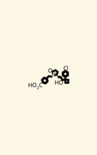 O=C(O)c1ccc(CCN2C(=O)CC[C@@H]2C=C[C@H](O)C2(c3ccc(Cl)cc3)CCC2)cc1